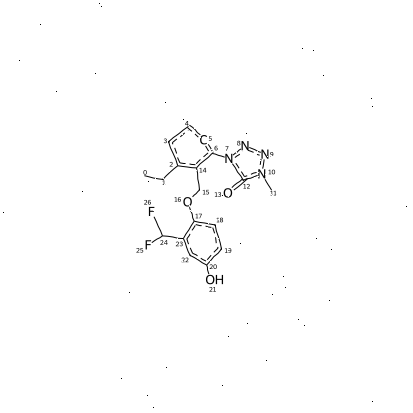 CCc1cccc(-n2nnn(C)c2=O)c1COc1ccc(O)cc1C(F)F